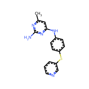 Cc1cc(Nc2ccc(Sc3cccnc3)cc2)nc(N)n1